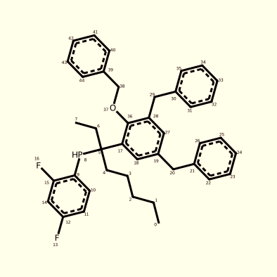 CCCCCC(CC)(Pc1ccc(F)cc1F)c1cc(Cc2ccccc2)cc(Cc2ccccc2)c1OCc1ccccc1